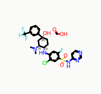 CN(C)[C@H]1C[C@@](O)(c2cccc(C(F)(F)F)c2)CC[C@@H]1Nc1cc(F)c(S(=O)(=O)Nc2ccncn2)cc1Cl.O=CO